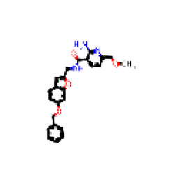 COCc1ccc(C(=O)NCc2cc3ccc(OCc4ccccc4)cc3o2)c(N)n1